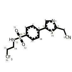 N#CCc1ncc(-c2ccc(S(=O)(=O)NCCC(F)(F)F)cc2)s1